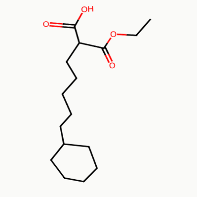 CCOC(=O)C(CCCCCC1CCCCC1)C(=O)O